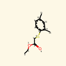 CCOC(=O)CSc1ccc(C)cc1C